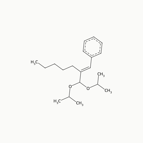 CCCCC/C(=C\c1ccccc1)C(OC(C)C)OC(C)C